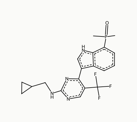 CP(C)(=O)c1cccc2c(-c3nc(NCC4CC4)ncc3C(F)(F)F)c[nH]c12